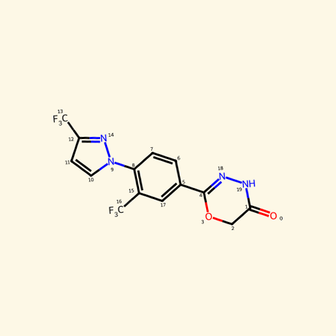 O=C1COC(c2ccc(-n3ccc(C(F)(F)F)n3)c(C(F)(F)F)c2)=NN1